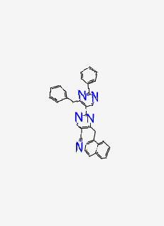 N#Cc1cnc(-c2cnc(-c3ccccc3)nc2Cc2ccccc2)nc1Cc1cccc2ccccc12